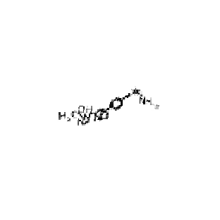 CC(O)c1nccn1Cc1cc(-c2ccc(C#C[C@@H]3C[C@H]3CN)cc2)on1